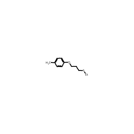 CCSCCCOc1ccc(C)cc1